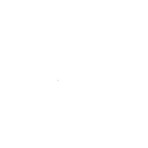 CO[SiH](OC)C(C)C1CCC(C)CC1